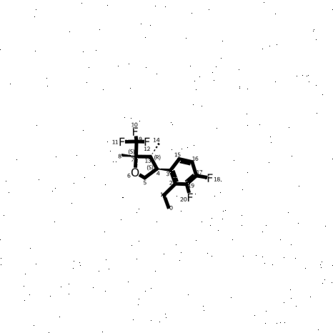 CCc1c([C@H]2CO[C@](C)(C(F)(F)F)[C@@H]2C)ccc(F)c1F